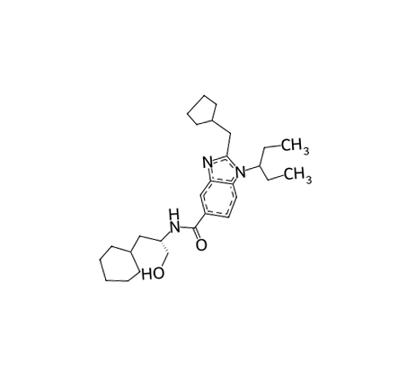 CCC(CC)n1c(CC2CCCC2)nc2cc(C(=O)N[C@H](CO)CC3CCCCC3)ccc21